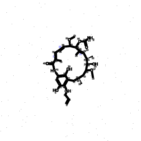 C=CCNc1c(O)cc2c(O)c1C[C@@H](C)CC(OC)[C@H](O)[C@@H](C)/C=C(\C)C(OC(N)=O)C(OC)/C=C\C=C(/C)C(=O)N2